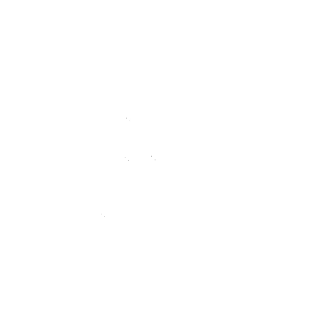 C=Cc1ccc(-c2nc3cc(Oc4ccc(S(C)(=O)=O)cc4)c(C4CCCN4C(C)=O)cc3[nH]2)nc1